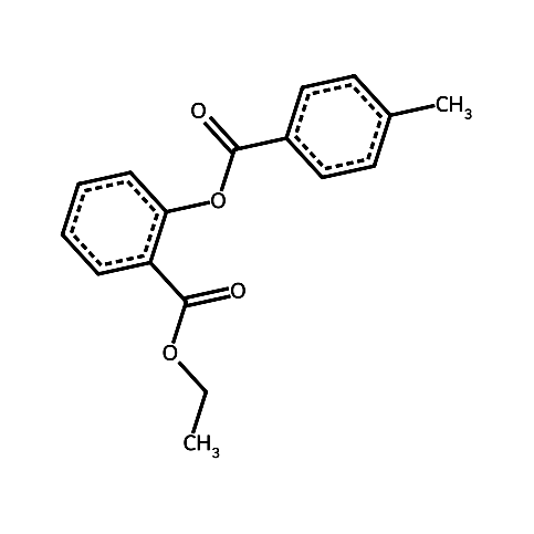 CCOC(=O)c1ccccc1OC(=O)c1ccc(C)cc1